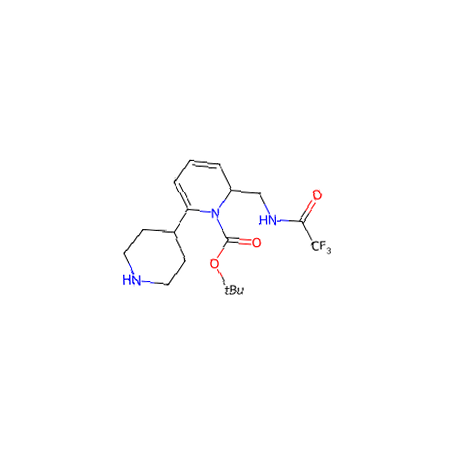 CC(C)(C)OC(=O)N1C(C2CCNCC2)=CC=CC1CNC(=O)C(F)(F)F